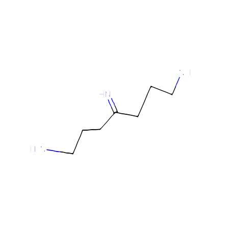 N=C(CCCN)CCCN